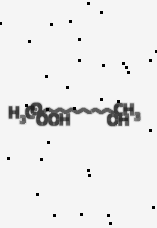 COC(=O)CC(O)CCCCCCCCCC(C)O